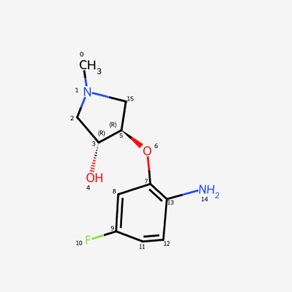 CN1C[C@@H](O)[C@H](Oc2cc(F)ccc2N)C1